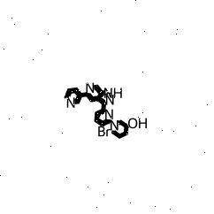 OC1CCCN(c2nc(-c3n[nH]c4cnc(-c5cccnc5)cc34)ccc2Br)C1